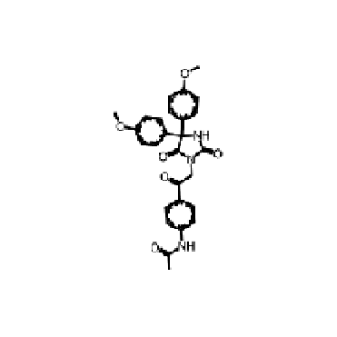 COc1ccc(C2(c3ccc(OC)cc3)NC(=O)N(CC(=O)c3ccc(NC(C)=O)cc3)C2=O)cc1